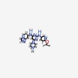 CC(C)Oc1ccc(Nc2nc(NC3=Cc4nccn4CC3)cc(N3CCN(C)CC3)n2)cn1